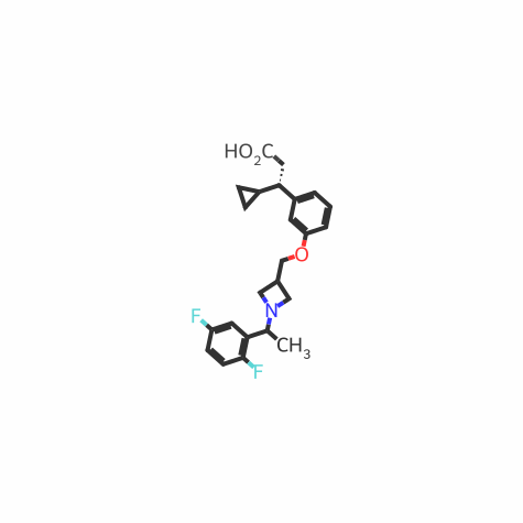 CC(c1cc(F)ccc1F)N1CC(COc2cccc([C@@H](CC(=O)O)C3CC3)c2)C1